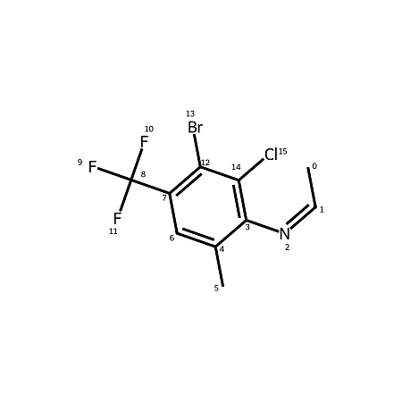 C/C=N\c1c(C)cc(C(F)(F)F)c(Br)c1Cl